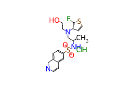 C[C@H](CN(CCO)c1ccsc1F)NS(=O)(=O)c1ccc2cnccc2c1.Cl